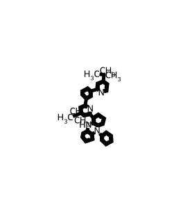 CC(C)(C)c1ccnc(-c2cccc(-c3cc(C(C)(C)C)cc(-c4cccc5c4Nc4ccccc4N5c4ccccc4)n3)c2)c1